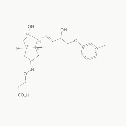 Cc1cccc(OCC(O)C=C[C@@H]2[C@@H]3CC(=NOCCC(=O)O)C[C@H]3C[C@@H]2O)c1